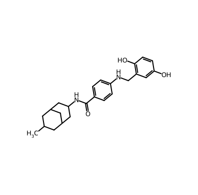 CC1CC2CC(C1)CC(NC(=O)c1ccc(NCc3cc(O)ccc3O)cc1)C2